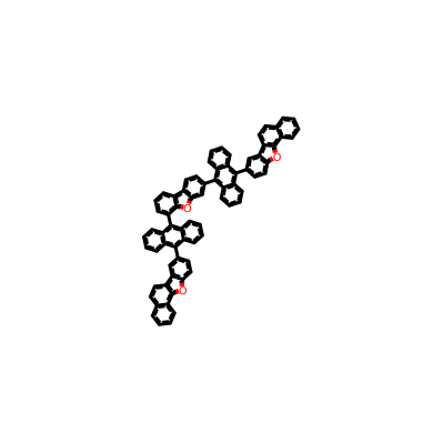 c1ccc2c(c1)ccc1c3cc(-c4c5ccccc5c(-c5ccc6c(c5)oc5c(-c7c8ccccc8c(-c8ccc9oc%10c%11ccccc%11ccc%10c9c8)c8ccccc78)cccc56)c5ccccc45)ccc3oc21